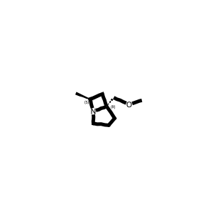 COC[C@]12CCCN1[C@@H](C)C2